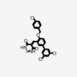 O=C1NSNC(=O)C1=Cc1cc(-c2cc(Cl)cc(Cl)c2)ccc1OCc1ccc(Cl)cc1